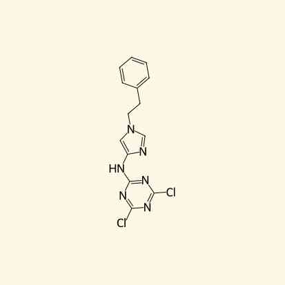 Clc1nc(Cl)nc(Nc2cn(CCc3ccccc3)cn2)n1